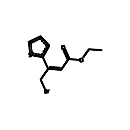 CCOC(=O)/C=C(/CBr)c1cccs1